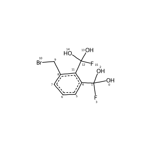 OC(O)(F)c1cccc(CBr)c1C(O)(O)F